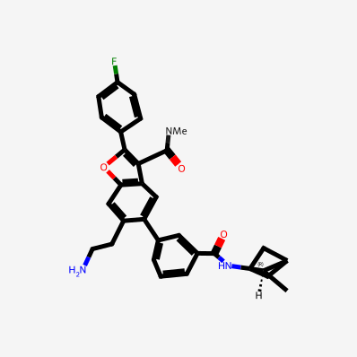 CNC(=O)c1c(-c2ccc(F)cc2)oc2cc(CCN)c(-c3cccc(C(=O)NC45CC(C4)[C@H]5C)c3)cc12